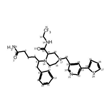 NC(=O)CCCC(Cc1ccccc1)N1CCN(Cc2cncc(-c3cccs3)c2)CC1C(=O)NCC(F)(F)F